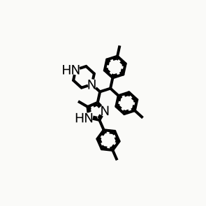 Cc1ccc(-c2nc(C(C(c3ccc(C)cc3)c3ccc(C)cc3)N3CCNCC3)c(C)[nH]2)cc1